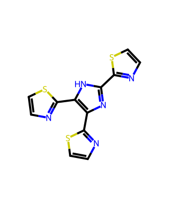 c1csc(-c2nc(-c3nccs3)c(-c3nccs3)[nH]2)n1